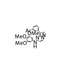 COc1cc(Nc2ccn3ncc(-c4cccc(C(C)=O)c4)c3n2)cc(OC)c1OC